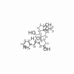 C=C1CCC2C(CO)C(C3(C)CCC(O)CC3C=Cc3cccnc3)CCC12C